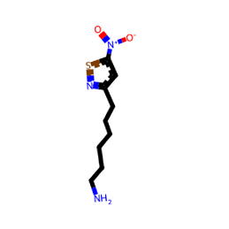 NCCCCCCc1cc([N+](=O)[O-])sn1